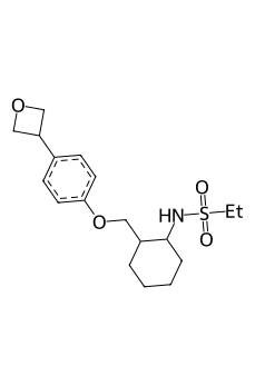 CCS(=O)(=O)NC1CCCCC1COc1ccc(C2COC2)cc1